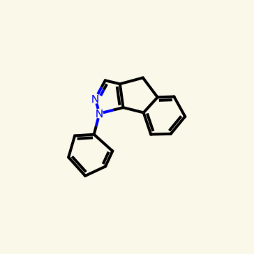 c1ccc(-n2ncc3c2-c2ccccc2C3)cc1